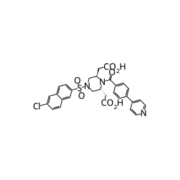 O=C(O)C[C@@H]1CN(S(=O)(=O)c2ccc3cc(Cl)ccc3c2)C[C@@H](CC(=O)O)N1C(=O)c1ccc(-c2ccncc2)cc1